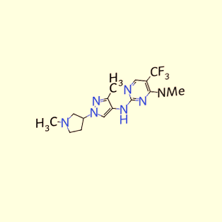 CNc1nc(Nc2cn(C3CCN(C)C3)nc2C)ncc1C(F)(F)F